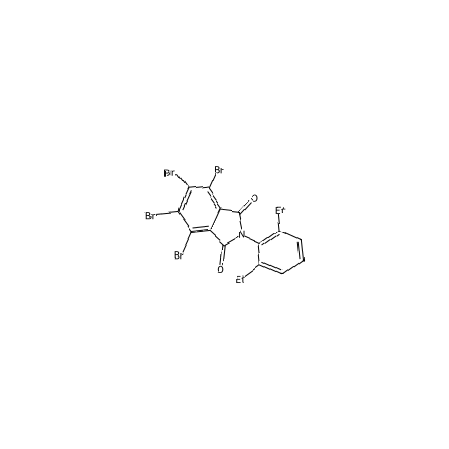 CCc1cccc(CC)c1N1C(=O)c2c(Br)c(Br)c(Br)c(Br)c2C1=O